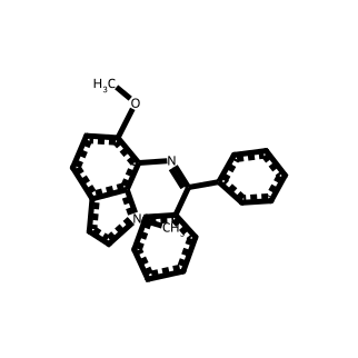 COc1ccc2ccn(C)c2c1N=C(c1ccccc1)c1ccccc1